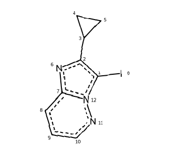 Ic1c(C2CC2)nc2cccnn12